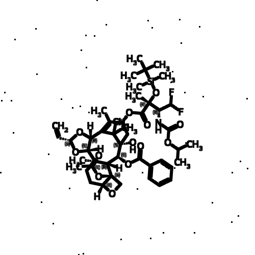 C=C[C@@H]1O[C@@H]2C3=C(C)[C@@H](OC(=O)[C@](C)(O[Si](C)(C)C(C)(C)C)[C@@H](NC(=O)OC(C)C)C(F)F)C[C@@](O)([C@@H](OC(=O)c4ccccc4)[C@H]4[C@@](C)(CC[C@H]5OC[C@]54OC(C)=O)[C@@H]2O1)C3(C)C